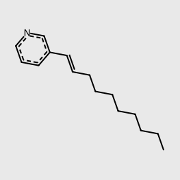 CCCCCCCCC=Cc1cccnc1